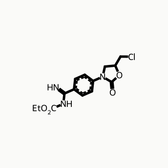 CCOC(=O)NC(=N)c1ccc(N2CC(CCl)OC2=O)cc1